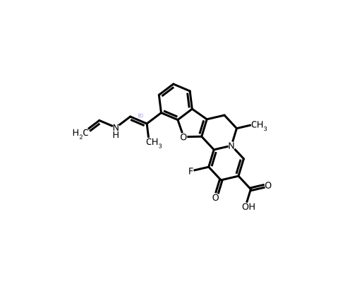 C=CN/C=C(\C)c1cccc2c3c(oc12)-c1c(F)c(=O)c(C(=O)O)cn1C(C)C3